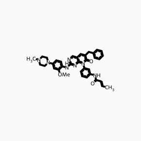 C/C=C/C(=O)Nc1cccc(-n2c(=O)c(Cc3ccccc3)cc3cnc(Nc4ccc(N5CCN(C)CC5)cc4OC)nc32)c1